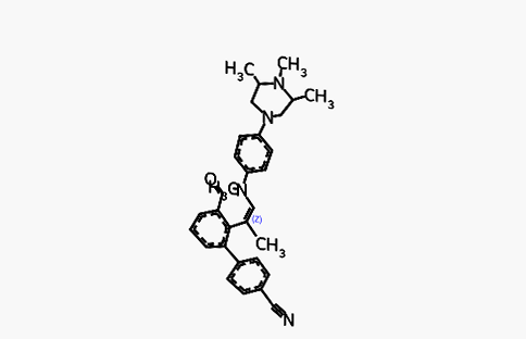 C/C(=C/N(C)c1ccc(N2CC(C)N(C)C(C)C2)cc1)c1c(C=O)cccc1-c1ccc(C#N)cc1